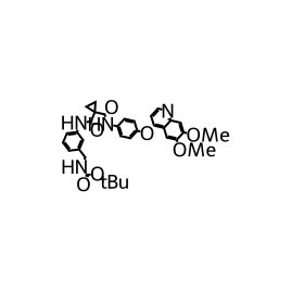 COc1cc2nccc(Oc3ccc(NC(=O)C4(C(=O)Nc5cccc(CNC(=O)OC(C)(C)C)c5)CC4)cc3)c2cc1OC